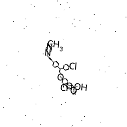 Cc1cc(OC/C=C(\c2ccc(Cl)cc2)c2ccc(C#CCN3CCN(C)CC3)cc2)ccc1OCC(=O)O